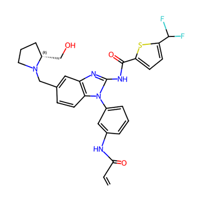 C=CC(=O)Nc1cccc(-n2c(NC(=O)c3ccc(C(F)F)s3)nc3cc(CN4CCC[C@@H]4CO)ccc32)c1